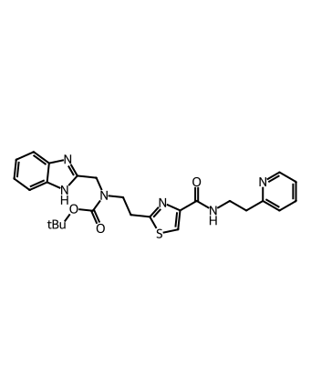 CC(C)(C)OC(=O)N(CCc1nc(C(=O)NCCc2ccccn2)cs1)Cc1nc2ccccc2[nH]1